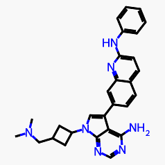 CN(C)CC1CC(n2cc(-c3ccc4ccc(Nc5ccccc5)nc4c3)c3c(N)ncnc32)C1